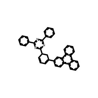 C1=CC(c2nc(-c3ccccc3)nc(-c3ccccc3)n2)CC(c2ccc3c4ccccc4c4ccccc4c3c2)=C1